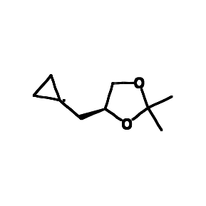 CC1(C)OC[C@H](C[C]2CC2)O1